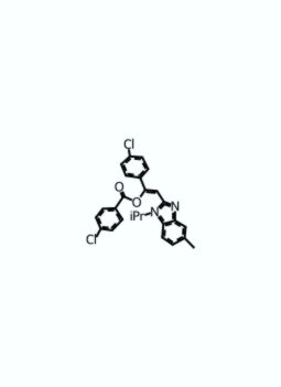 Cc1ccc2c(c1)nc(/C=C(\OC(=O)c1ccc(Cl)cc1)c1ccc(Cl)cc1)n2C(C)C